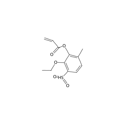 C=CC(=O)Oc1c(C)ccc([SH](=O)=O)c1OCC